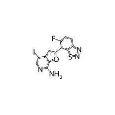 Nc1ncc(I)c2cc(-c3c(F)ccc4nnsc34)oc12